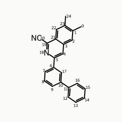 Cc1cc2cc(-c3cccc(-c4ccccc4)c3)nc(C#N)c2cc1C